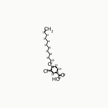 C=CCCCCCCCCCOc1ccc(C(=O)O)cc1Cl